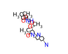 CCC(OC(=O)CNC(=O)OC(C)(C)C)c1cc2n(c(=O)c1C)Cc1cc3cc(C#N)ccc3nc1-2